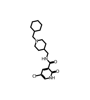 O=C(NCC1CCN(CC2CCCCC2)CC1)c1cc(Cl)c[nH]c1=O